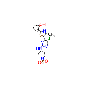 CS(=O)(=O)N1CCC(Nc2ncc(F)c(-c3sc([C@H]4CCC[C@@H]4O)nc3C(F)(F)F)n2)CC1